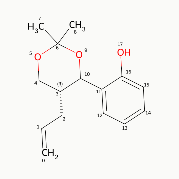 C=CC[C@@H]1COC(C)(C)OC1c1ccccc1O